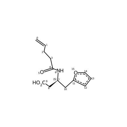 C=CCCC(=O)N[C@H](CC(=O)O)Cc1ccco1